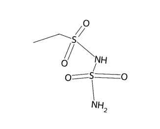 CCS(=O)(=O)NS(N)(=O)=O